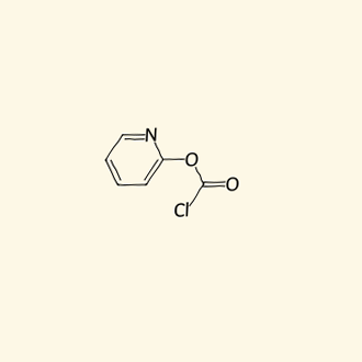 O=C(Cl)Oc1ccccn1